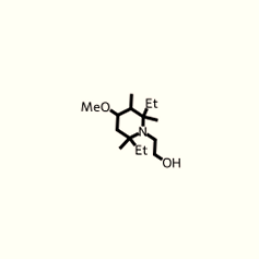 CCC1(C)CC(OC)C(C)C(C)(CC)N1CCO